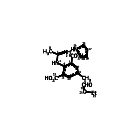 CC(=N)Nc1c(C(=O)O)cc(C)cc1C(=O)O.CCOC=O.c1cc[nH]c1